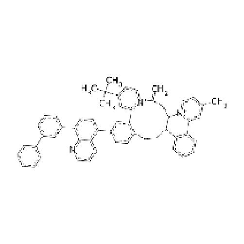 C=C1CC2C(CCc3ccc(-c4ccc(-c5cccc(-c6ccccc6)c5)c5ncccc45)cc3-c3cc(C(C)(C)C)cc[n+]31)c1ccccc1-c1cc(C)cc[n+]12